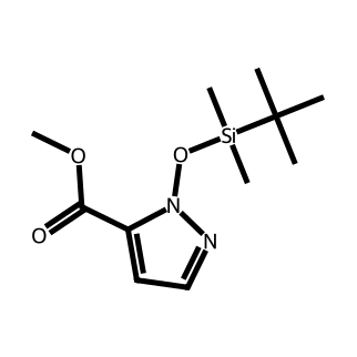 COC(=O)c1ccnn1O[Si](C)(C)C(C)(C)C